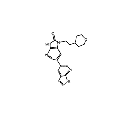 O=c1[nH]c2ncc(-c3cnc4[nH]ccc4c3)cc2n1CCC1CCOCC1